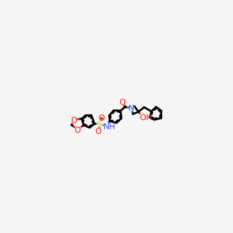 O=C(c1ccc(NS(=O)(=O)c2ccc3c(c2)OCO3)cc1)N1CC(O)(Cc2ccccc2)C1